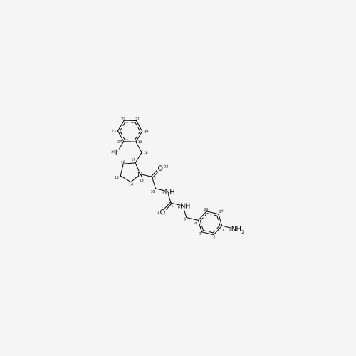 Nc1ccc(CNC(=O)NCC(=O)N2CCCC2Cc2ccccc2F)cc1